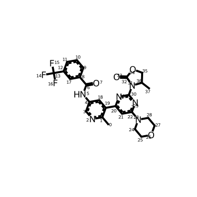 Cc1ncc(NC(=O)c2cccc(C(F)(F)F)c2)cc1-c1cc(N2CCOCC2)nc(N2C(=O)OCC2C)n1